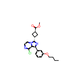 CCCCOc1cccc(-c2nc([C@H]3C[C@H](C(=O)OC)C3)n3ccnc(Cl)c23)c1